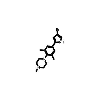 Cc1cc(-c2cc(Br)c[nH]2)cc(C)c1N1CCN(C)CC1